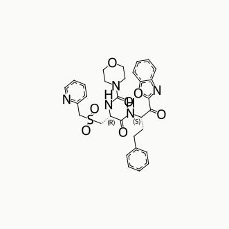 O=C(N[C@@H](CCc1ccccc1)C(=O)c1nc2ccccc2o1)[C@H](CS(=O)(=O)Cc1ccccn1)NC(=O)N1CCOCC1